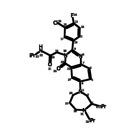 CCCC1CN(c2ccc3nc(-c4ccc(F)c(Cl)c4)n(CC(=O)NC(C)C)c(=O)c3c2)CCCN1C(C)C